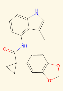 Cc1c[nH]c2cccc(NC(=O)C3(c4ccc5c(c4)OCO5)CC3)c12